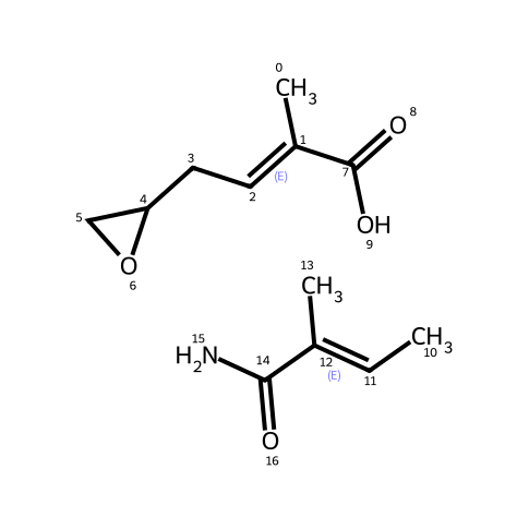 C/C(=C\CC1CO1)C(=O)O.C/C=C(\C)C(N)=O